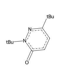 CC(C)(C)c1ccc(=O)n(C(C)(C)C)n1